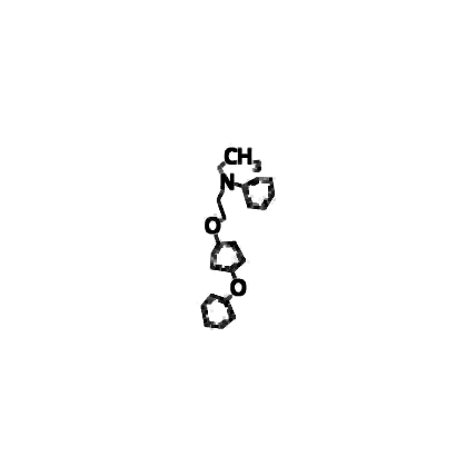 CCN(CCOc1ccc(Oc2ccccc2)cc1)c1ccccc1